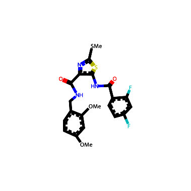 COc1ccc(CNC(=O)c2nc(SC)sc2NC(=O)c2ccc(F)cc2F)c(OC)c1